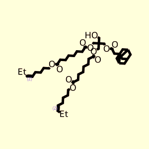 CC/C=C\CCCCOC(=O)CCCCCCC(=O)OCC(CO)(COC(=O)CCCCCCC(=O)OCCCC/C=C\CC)COC(=O)CC12CC3CC(CC(C3)C1)C2